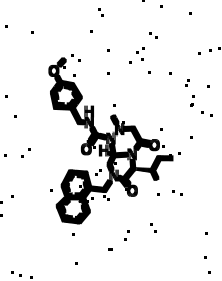 CCC(C)[C@H]1C(=O)N(Cc2cccc3ccccc23)C[C@H]2N1C(=O)CN(C)N2C(=O)NCc1ccc(OC)cc1